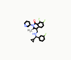 Cc1c(CNC(c2cccc(F)c2)C2CC2)c2ccc(F)c(F)c2c(=O)n1-c1cccnc1